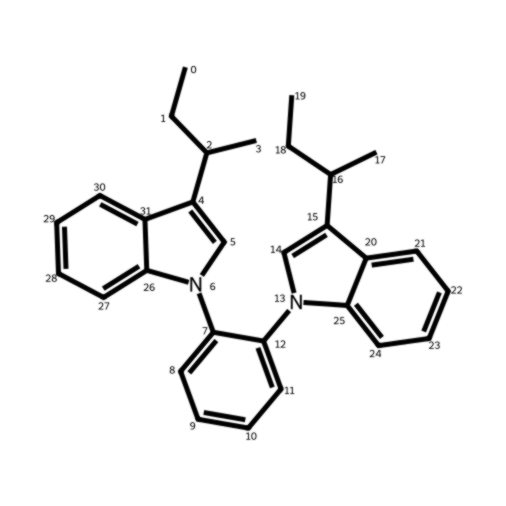 CCC(C)c1cn(-c2ccccc2-n2cc(C(C)CC)c3ccccc32)c2ccccc12